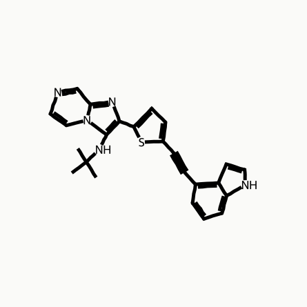 CC(C)(C)Nc1c(-c2ccc(C#Cc3cccc4[nH]ccc34)s2)nc2cnccn12